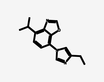 CCc1cn(-c2ccc(C(C)C)c3ncoc23)cn1